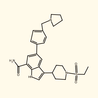 CCS(=O)(=O)N1CCC(c2c[nH]c3c(C(N)=O)cc(-c4ccc(CN5CCCC5)cc4)cc23)CC1